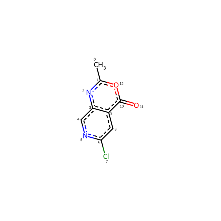 Cc1nc2cnc(Cl)cc2c(=O)o1